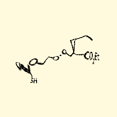 C=CC1CC1(COOCCOC(=O)S)C(=O)OCC